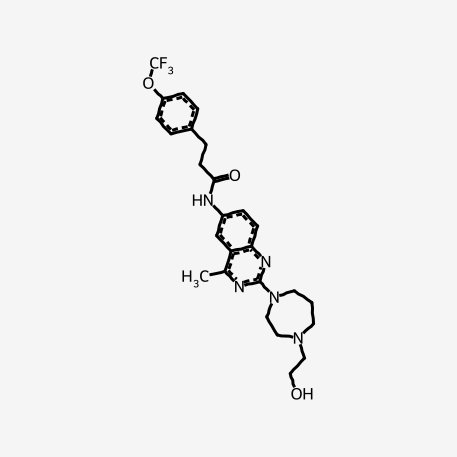 Cc1nc(N2CCCN(CCO)CC2)nc2ccc(NC(=O)CCc3ccc(OC(F)(F)F)cc3)cc12